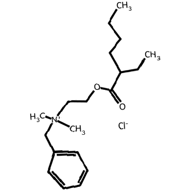 CCCCC(CC)C(=O)OCC[N+](C)(C)Cc1ccccc1.[Cl-]